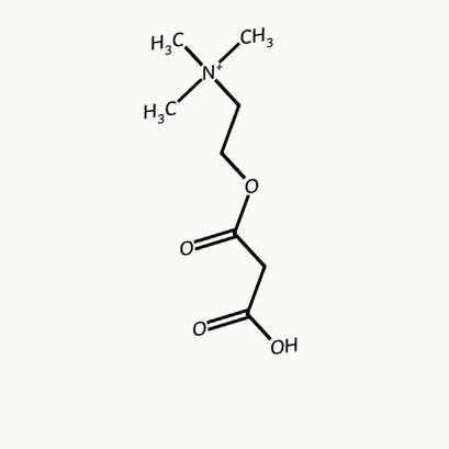 C[N+](C)(C)CCOC(=O)CC(=O)O